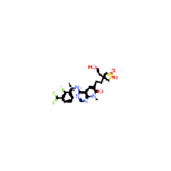 C[C@@H](Nc1ncnc2c1cc(CCC1(CCO)CS(=O)(=O)C1)c(=O)n2C)c1cccc(C(F)F)c1F